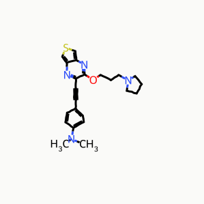 CN(C)c1ccc(C#Cc2nc3cscc3nc2OCCCN2CCCC2)cc1